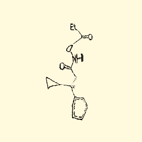 CCC(=O)ONC(=O)C[C@H](c1ccccc1)C1CC1